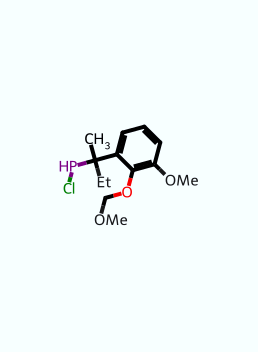 CCC(C)(PCl)c1cccc(OC)c1OCOC